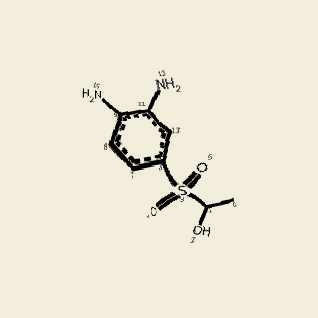 CC(O)S(=O)(=O)c1ccc(N)c(N)c1